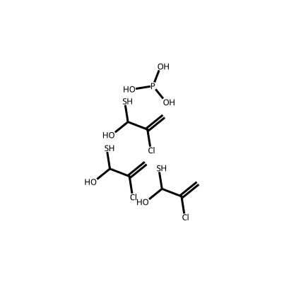 C=C(Cl)C(O)S.C=C(Cl)C(O)S.C=C(Cl)C(O)S.OP(O)O